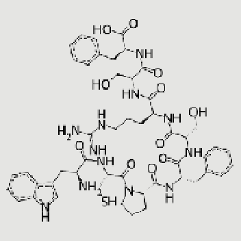 N=C(N)NCCC[C@H](NC(=O)[C@H](CO)NC(=O)[C@H](Cc1ccccc1)NC(=O)[C@@H]1CCCN1C(=O)[C@H](CS)NC(=O)[C@@H](N)Cc1c[nH]c2ccccc12)C(=O)N[C@@H](CO)C(=O)N[C@@H](Cc1ccccc1)C(=O)O